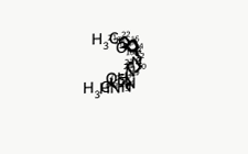 CC(O)Nc1nnc(N2CCN(Sc3ccc4c(c3)O[C@H](C)C4)CC2)s1